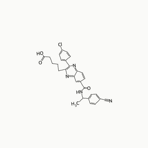 CC(NC(=O)c1ccc2nc(-c3ccc(Cl)cc3)c(CCCCC(=O)O)nc2c1)c1ccc(C#N)cc1